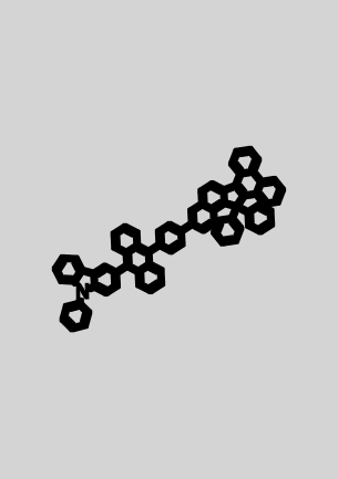 c1ccc(-n2c3ccccc3c3cc(-c4c5ccccc5c(-c5ccc(-c6ccc7c8c(ccc7c6)-c6c(c7ccccc7c7ccccc67)C8(c6ccccc6)c6ccccc6)cc5)c5ccccc45)ccc32)cc1